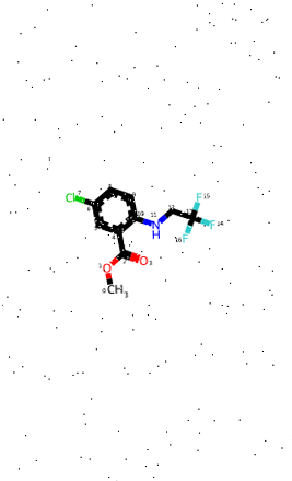 COC(=O)c1cc(Cl)ccc1NCC(F)(F)F